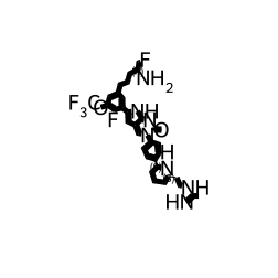 CC(=N)NCC[C@@H]1CCC[C@@H](c2ccc(-n3cc4cc(-c5cc(CCC[C@@H](N)CF)cc(OC(F)(F)F)c5F)[nH]c4nc3=O)cc2)N1